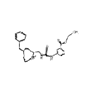 CCOC(=O)c1cccc(NC(=O)NC[C@@H]2C[C@H](Cc3ccccc3)CCN2)c1